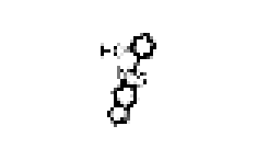 Oc1ccccc1-c1nc2cc3c(cc2s1)C=CC3